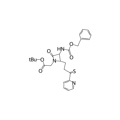 CC(C)(C)OC(=O)CN1C(=O)C(NC(=O)OCc2ccccc2)C1CCC(=S)c1ccccn1